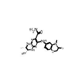 CCC[C@@H](Nc1cnc(C(N)=O)c(Nc2ccc3c(c2)N(C)C(=O)CO3)n1)[C@H](C)N